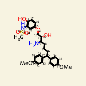 COc1ccc(C(CCCC(N)[C@@H](O)COc2ccc(O)c(NS(C)(=O)=O)c2)c2ccc(OC)cc2)cc1